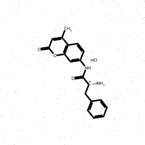 Cc1cc(=O)oc2cc(NC(=O)[C@H](N)Cc3ccccc3)ccc12.Cl